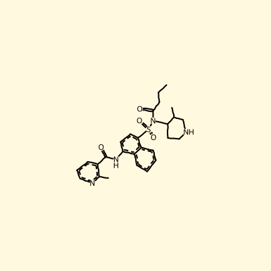 CCCC(=O)N(C1CCNCC1C)S(=O)(=O)c1ccc(NC(=O)c2cccnc2C)c2ccccc12